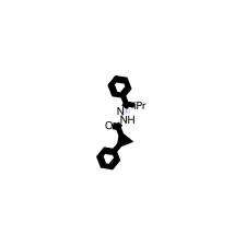 CC(C)/C(=N\NC(=O)C1CC1c1ccccc1)c1ccccc1